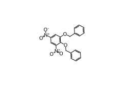 O=[N+]([O-])c1cc(OCc2ccccc2)c(OCc2ccccc2)c([N+](=O)[O-])c1